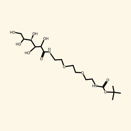 CC(C)(C)OC(=O)NCCOCCOCCNC(=O)C(O)C(O)[C@H](O)C(O)CO